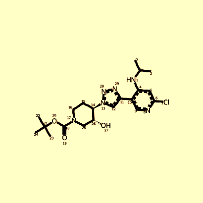 CC(C)Nc1cc(Cl)ncc1-c1cn([C@@H]2CCN(C(=O)OC(C)(C)C)C[C@H]2O)nn1